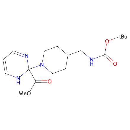 COC(=O)C1(N2CCC(CNC(=O)OC(C)(C)C)CC2)N=CC=CN1